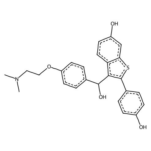 CN(C)CCOc1ccc(C(O)c2c(-c3ccc(O)cc3)sc3cc(O)ccc23)cc1